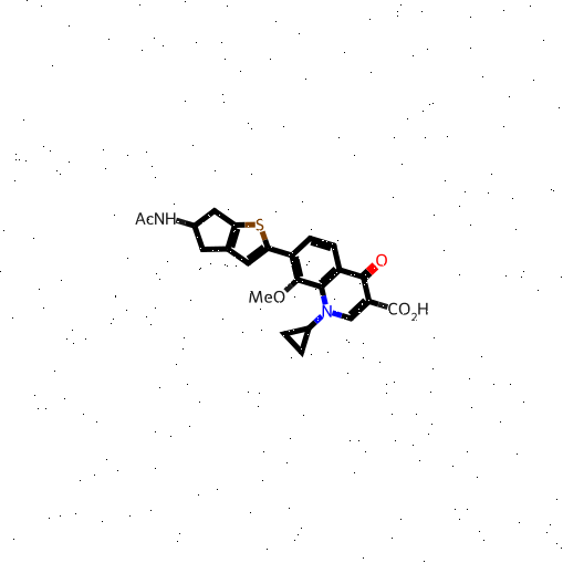 COc1c(-c2cc3c(s2)CC(NC(C)=O)C3)ccc2c(=O)c(C(=O)O)cn(C3CC3)c12